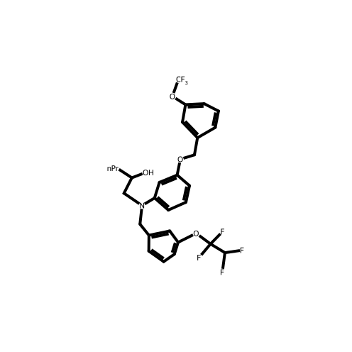 CCCC(O)CN(Cc1cccc(OC(F)(F)C(F)F)c1)c1cccc(OCc2cccc(OC(F)(F)F)c2)c1